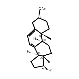 CC(=O)O[C@H]1CC[C@@]2(C)C(=CC=C3[C@@H]4CC[C@H](C(C)C)[C@@]4(C)CC[C@@H]32)C1